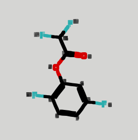 O=C(Oc1cc(F)ccc1F)C(F)F